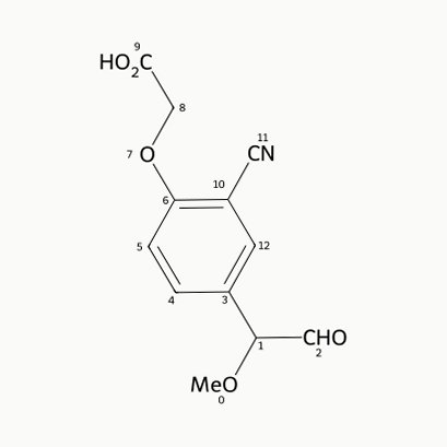 COC(C=O)c1ccc(OCC(=O)O)c(C#N)c1